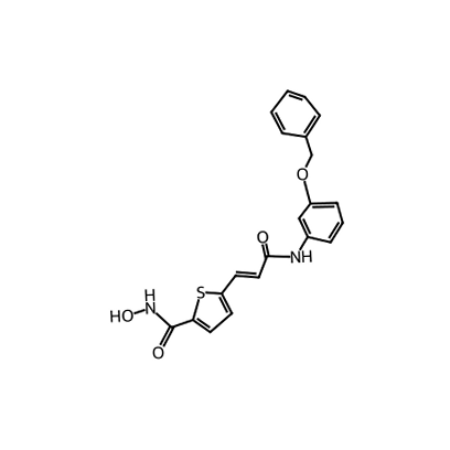 O=C(/C=C/c1ccc(C(=O)NO)s1)Nc1cccc(OCc2ccccc2)c1